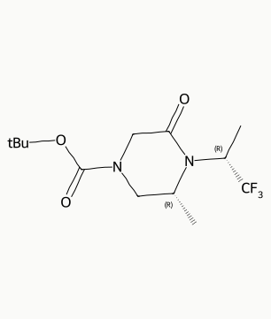 C[C@@H]1CN(C(=O)OC(C)(C)C)CC(=O)N1[C@H](C)C(F)(F)F